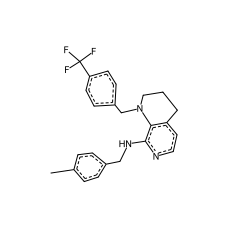 Cc1ccc(CNc2nccc3c2N(Cc2ccc(C(F)(F)F)cc2)CCC3)cc1